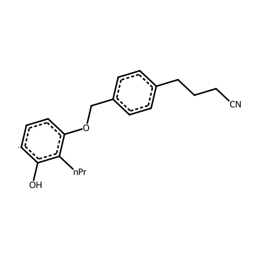 CCCc1c(O)[c]ccc1OCc1ccc(CCCC#N)cc1